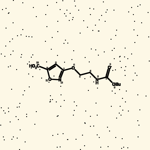 CC(C)COC(=O)NCCOc1cc(C(=O)O)on1